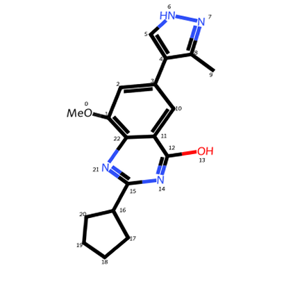 COc1cc(-c2c[nH]nc2C)cc2c(O)nc(C3CCCC3)nc12